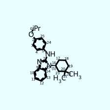 CC(C)Oc1ccc(Nc2nc3ccccc3n2[C@H]2CCCC(C)(C)C2)cc1